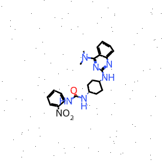 CN(C)c1nc(N[C@H]2CC[C@@H](NC(=O)Nc3ccccc3[N+](=O)[O-])CC2)nc2ccccc12